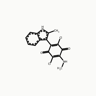 CNC1=C(Cl)C(=O)C(c2c(C)[nH]c3ccccc23)=C(Cl)C1=O